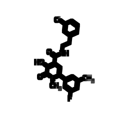 Cc1cc(F)cc(-c2cc(C(=O)NCCc3cccc(Cl)c3)c(O)c(=O)n2C)c1